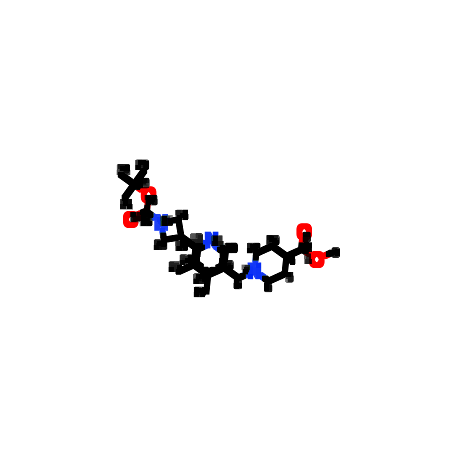 COC(=O)C1CCN(Cc2cnc(C3CN(C(=O)OC(C)(C)C)C3)c(C)c2C)CC1